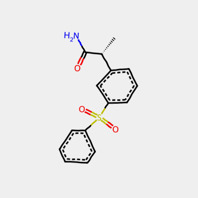 C[C@@H](C(N)=O)c1cccc(S(=O)(=O)c2ccccc2)c1